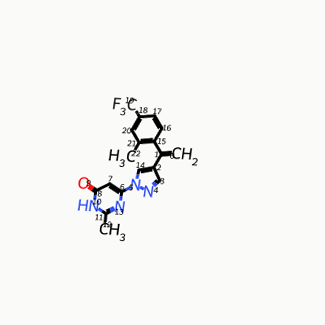 C=C(c1cnn(-c2cc(=O)[nH]c(C)n2)c1)c1ccc(C(F)(F)F)cc1C